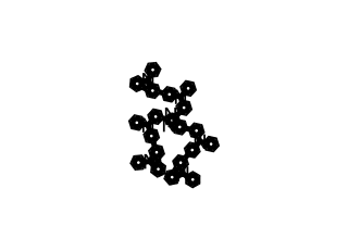 c1ccc(N(c2ccc(-c3ccc4c5ccccc5n(-c5ccccc5)c4c3)cc2)c2cccc(-c3ccc4nc(-c5cccc(N(c6ccccc6)c6ccc(-c7ccc8c9ccccc9n(-c9ccccc9)c8c7)cc6)c5)nc(-c5cccc(N(c6ccccc6)c6ccc(-c7ccc8c9ccccc9n(-c9ccccc9)c8c7)cc6)c5)c4c3)c2)cc1